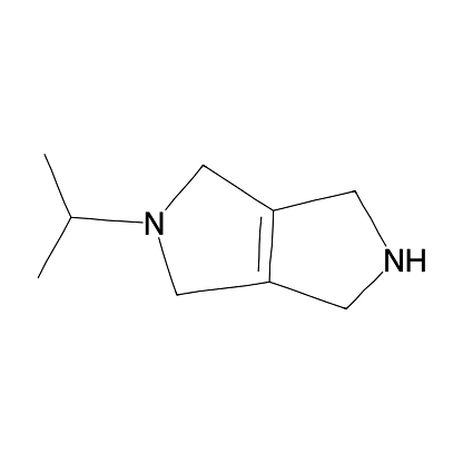 CC(C)N1CC2=C(CNC2)C1